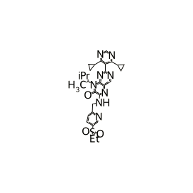 CCS(=O)(=O)c1ccc(CNc2nc3cnc(-c4c(C5CC5)ncnc4C4CC4)nc3n(C(C)C(C)C)c2=O)nc1